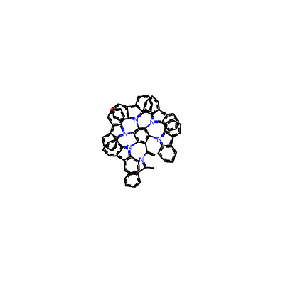 C=C(/N=C(\C)c1ccccc1)c1c(-n2c3ccccc3c3ccccc32)c(-n2c3ccccc3c3ccccc32)c(-n2c3ccccc3c3ccccc32)c(-n2c3ccccc3c3ccccc32)c1-n1c2ccccc2c2ccccc21